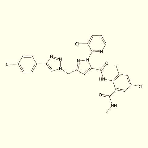 CNC(=O)c1cc(Cl)cc(C)c1NC(=O)c1cc(Cn2cc(-c3ccc(Cl)cc3)nn2)nn1-c1ncccc1Cl